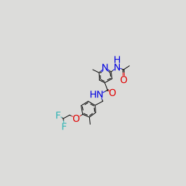 CC(=O)Nc1cc(C(=O)NCc2ccc(OCC(F)F)c(C)c2)cc(C)n1